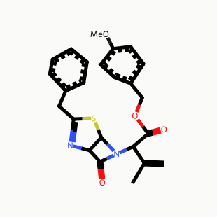 C=C(C)C(C(=O)OCc1ccc(OC)cc1)N1C(=O)C2N=C(Cc3ccccc3)SC21